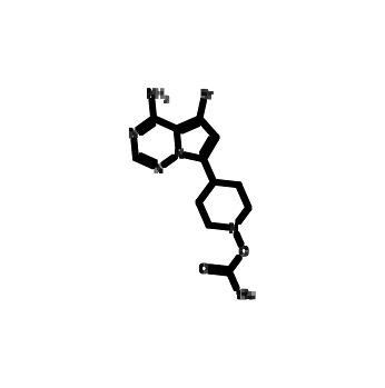 CC(C)(C)C(=O)ON1CCC(c2cc(Br)c3c(N)ncnn23)CC1